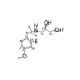 COc1ccc(CC(C)(C)NC[C@@H](O)CO)c(F)c1